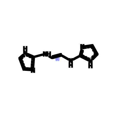 C(=C\Nc1ncc[nH]1)/Nc1ncc[nH]1